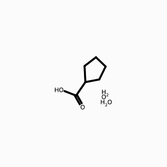 O.O.O=C(O)C1CCCC1